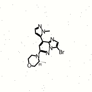 C[C@@H]1COCCN1c1cc(-c2ccnn2C)c2ncc(Br)n2n1